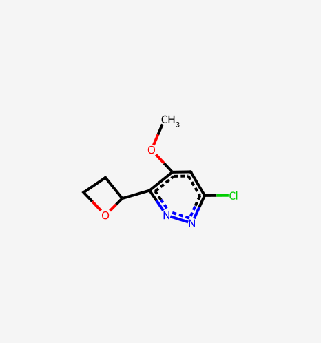 COc1cc(Cl)nnc1C1CCO1